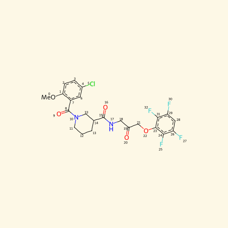 COc1ccc(Cl)cc1C(=O)N1CCCC(C(=O)NCC(=O)COc2c(F)c(F)cc(F)c2F)C1